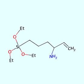 C=CC(N)CCC[Si](OCC)(OCC)OCC